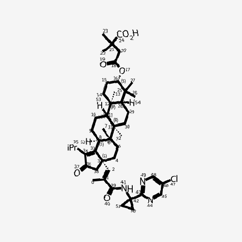 CC(=C[C@@]12CC[C@]3(C)[C@H](CC[C@@H]4[C@@]5(C)CC[C@H](OC(=O)CC(C)(C)C(=O)O)C(C)(C)[C@@H]5CC[C@]43C)C1=C(C(C)C)C(=O)C2)C(=O)NC1(c2ncc(Cl)cn2)CC1